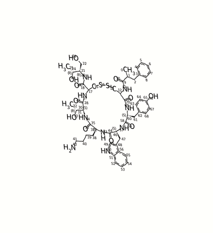 CC(Cc1ccccc1)C(=O)NC1CSSCC(C(=O)N[C@H](CO)[C@@H](C)O)NC(=O)[C@H]([C@@H](C)O)NC(=O)[C@H](CCCCN)NC(=O)[C@H](Cc2c[nH]c3ccccc23)NC(=O)[C@H](Cc2ccc(O)cc2)NC1=O